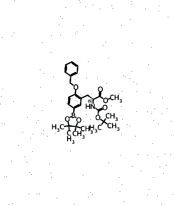 COC(=O)[C@H](Cc1cc(B2OC(C)(C)C(C)(C)O2)ccc1OCc1ccccc1)NC(=O)OC(C)(C)C